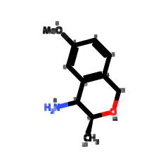 COc1ccc2c(c1)C(N)[C@H](C)OC2